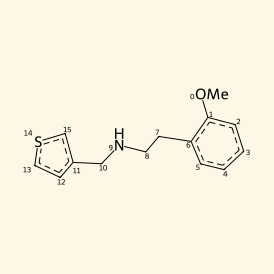 COc1ccccc1CCNCc1ccsc1